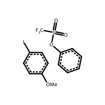 COc1ccc(I)cc1.O=S(=O)(Oc1ccccc1)C(F)(F)F